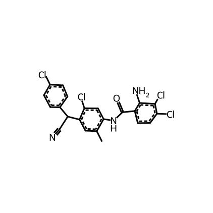 Cc1cc(C(C#N)c2ccc(Cl)cc2)c(Cl)cc1NC(=O)c1ccc(Cl)c(Cl)c1N